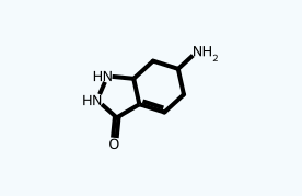 NC1CC=C2C(=O)NNC2C1